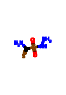 NNS(=O)(=O)C(N)=S